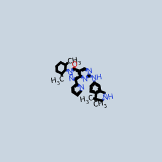 CC1CCCC(C)C1n1nc(-c2ccccn2)c2nc(Nc3ccc4c(c3)CNCC4(C)C)ncc2c1=O